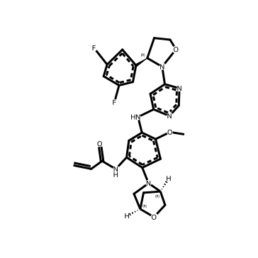 C=CC(=O)Nc1cc(Nc2cc(N3OCC[C@@H]3c3cc(F)cc(F)c3)ncn2)c(OC)cc1N1C[C@H]2C[C@@H]1CO2